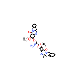 COc1cc2c(cc1OCC(N)COc1cc3c(cc1OC)C(=O)N1Cc4ccccc4C[C@H]1C=N3)N=CC1Cc3ccccc3CN1C2=O